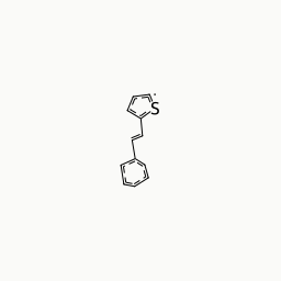 [c]1ccc(C=Cc2ccccc2)s1